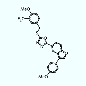 COc1ccc(-c2coc3ccc(-c4nnc(SCc5ccc(OC)c(C(F)(F)F)c5)o4)cc23)cc1